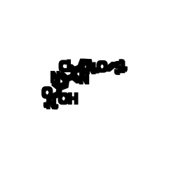 CN(C)C(=O)C(O)c1cncc(-c2cnc3c(ccn3COCC[Si](C)(C)C)c2Cl)c1